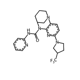 O=C(Nc1ccccn1)N1c2nc(N3CCC(C(F)(F)F)C3)ccc2N2CCCC1C2